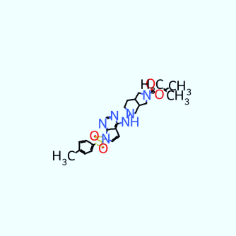 Cc1ccc(S(=O)(=O)n2ccc3c(NN4CCC5CN(C(=O)OC(C)(C)C)CC5C4)ncnc32)cc1